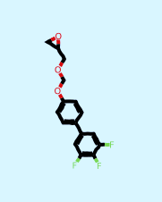 Fc1cc(-c2ccc(OCOCC3CO3)cc2)cc(F)c1F